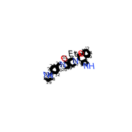 CCC(=O)C([C@@H]1CNC[C@@H]1c1ccccc1)N1CCC2(CCN(Cc3ccc(-n4cccn4)cc3)C2=O)CC1